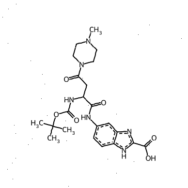 CN1CCN(C(=O)CC(NC(=O)OC(C)(C)C)C(=O)Nc2ccc3[nH]c(C(=O)O)nc3c2)CC1